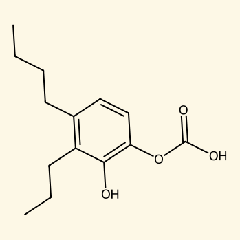 CCCCc1ccc(OC(=O)O)c(O)c1CCC